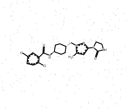 Cc1cc(N2CCNC2=O)nn1C[C@H]1CC[C@H](NC(=O)c2cc(Cl)ccc2Cl)CC1